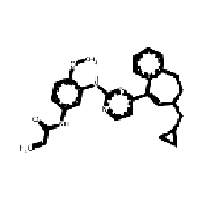 C=CC(=O)Nc1ccc(OC)c(Nc2nccc(C3=CC(CC4CC4)CCc4ccccc43)n2)c1